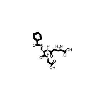 N[C@@H](CCC(=O)N[C@@H](CSC(=O)c1ccccc1)C(=O)NCC(=O)O)C(=O)O